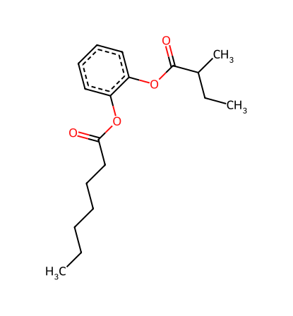 CCCCCCC(=O)Oc1ccccc1OC(=O)C(C)CC